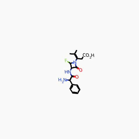 CC(C)=C(CC(=O)O)N1C(=O)C(NC(=O)C(N)c2ccccc2)C1F